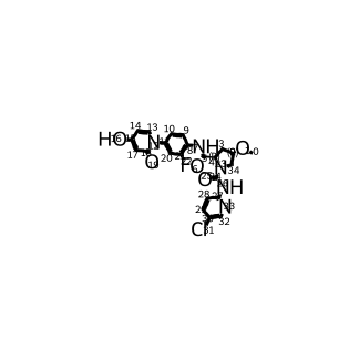 CO[C@@H]1C[C@H](C(=O)Nc2ccc(-n3ccc(O)cc3=O)cc2F)N(C(=O)Nc2ccc(Cl)cn2)C1